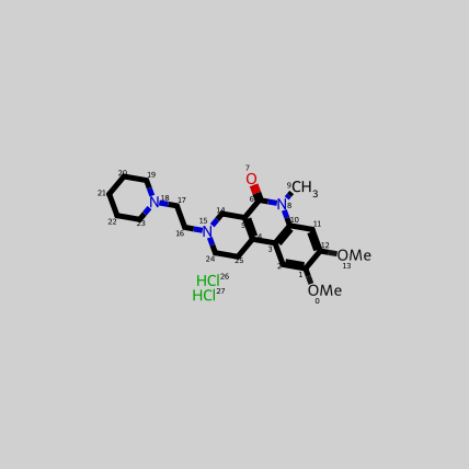 COc1cc2c3c(c(=O)n(C)c2cc1OC)CN(CCN1CCCCC1)CC3.Cl.Cl